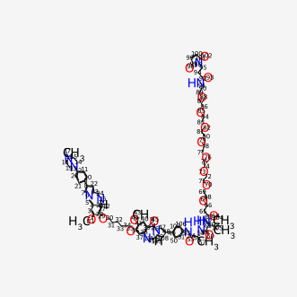 COC1=CC2=Cn3cc(-c4ccc(N5CCN(C)CC5)cc4)cc3C=N[C@H]2C=C1OCCCCCOc1cc2c(cc1OC)C(=O)N1C=C(c3ccc(NC(=O)[C@H](C)NC(=O)[C@@H](NC(=O)CCOCCOCCOCCOCCOCCOCCOCCOCCNC(=O)CCN4C(=O)C=CC4=O)C(C)C)cc3)C[C@H]1C=N2